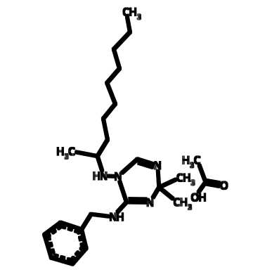 CC(=O)O.CCCCCCCCC(C)NN1C=NC(C)(C)N=C1NCc1ccccc1